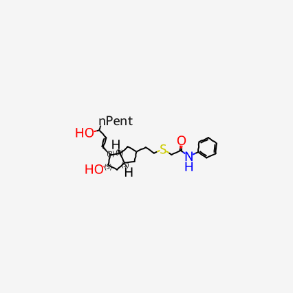 CCCCCC(O)C=C[C@H]1[C@@H]2CC(CCSCC(=O)Nc3ccccc3)C[C@H]2C[C@@H]1O